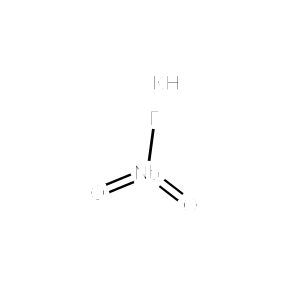 [KH].[O]=[Nb](=[O])[F]